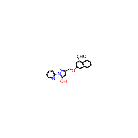 O=Cc1cc(OCc2cc(O)n(-c3ccccn3)n2)cc2ccccc12